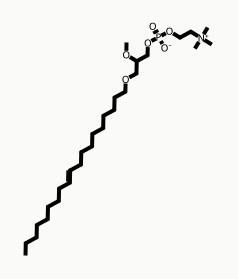 CCCCCCCCC=CCCCCCCCCCOCC(COP(=O)([O-])OCC[N+](C)(C)C)OC